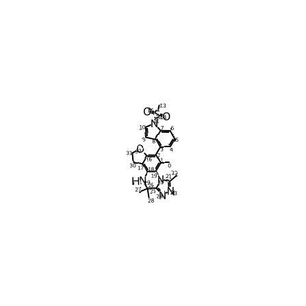 Cc1c(-c2cccc3c2ccn3S(C)(=O)=O)c2c(c3c1-n1c(C)nnc1C(C)(C)N3)CCO2